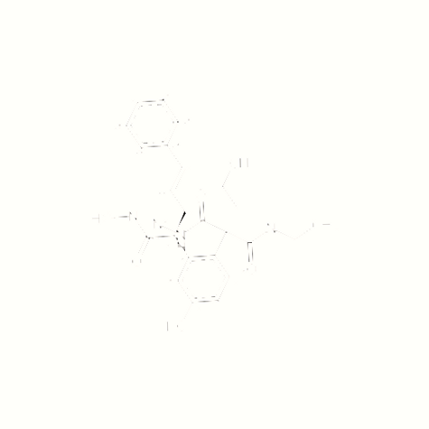 CCC[C@](C(=O)NN)(C(=O)NCC)c1ccc(C)cc1[C@H](C/C=C/c1ccccc1)C(=O)NO